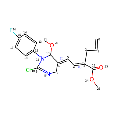 C=CC/C(=C\C=C1/CN=C(Cl)N(c2ccc(F)cc2)C1OC)C(=O)OC